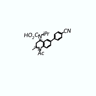 CC(=O)N1c2ccc(-c3ccc(C#N)cc3)cc2[C@H](N(C(=O)O)C(C)C)C[C@@H]1C